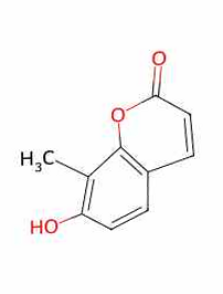 Cc1c(O)ccc2ccc(=O)oc12